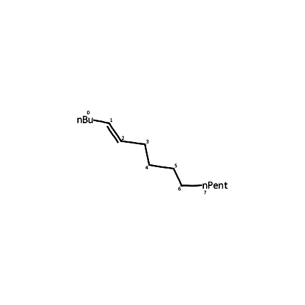 [CH2]CCCC=CCCCCCCCCC